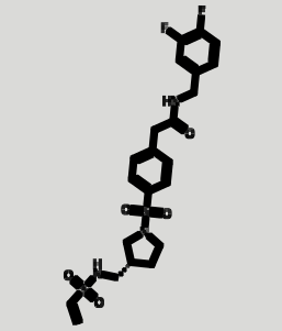 C=CS(=O)(=O)NC[C@H]1CCN(S(=O)(=O)c2ccc(CC(=O)NCc3ccc(F)c(F)c3)cc2)C1